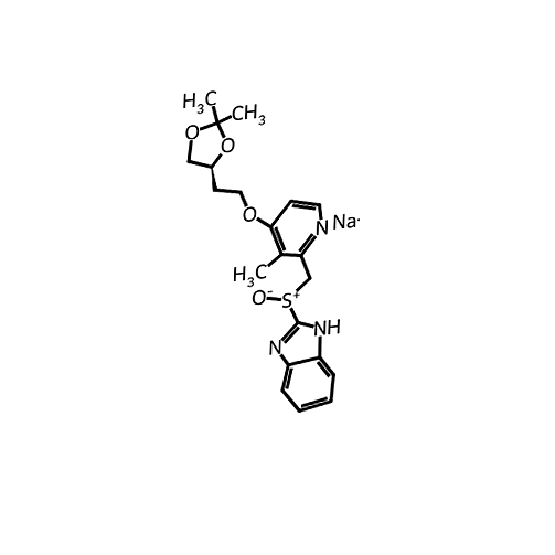 Cc1c(OCC[C@H]2COC(C)(C)O2)ccnc1C[S+]([O-])c1nc2ccccc2[nH]1.[Na]